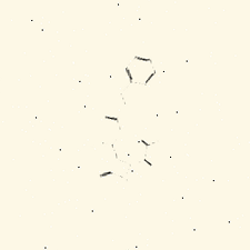 C=C(C(=O)O)[C@H]1NC(=O)[C@@H]1[C@@H](C)OC(=O)OCc1ccccc1